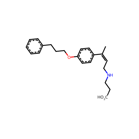 C/C(=C/CNCCC(=O)O)c1ccc(OCCCc2ccccc2)cc1